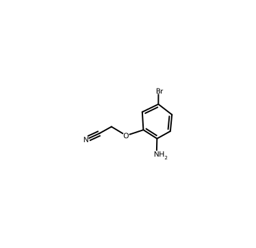 N#CCOc1cc(Br)ccc1N